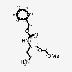 COCOC[C@H](CCN)NC(=O)OCc1ccccc1